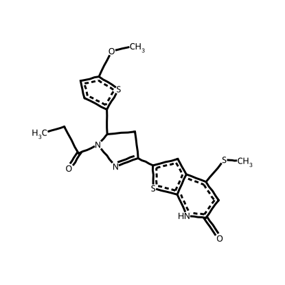 CCC(=O)N1N=C(c2cc3c(SC)cc(=O)[nH]c3s2)CC1c1ccc(OC)s1